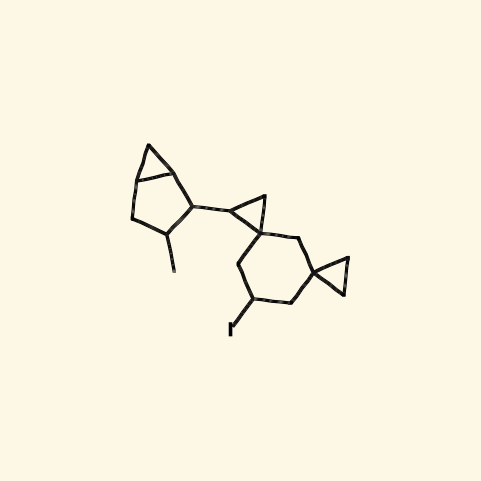 CC1CC2CC2C1C1CC12CC(I)CC1(CC1)C2